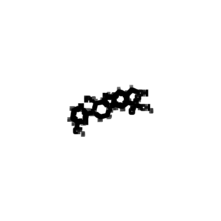 CC(C)[C@@H]1c2nc3cc(CO)c(S(C)(=O)=O)cc3n2CCN1c1nccc(C(F)(F)F)n1